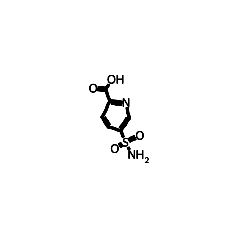 NS(=O)(=O)c1ccc(C(=O)O)nc1